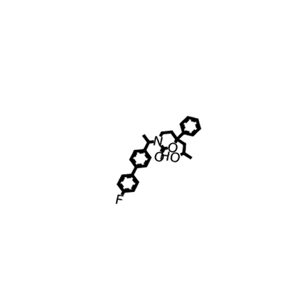 CC(O)CC1(c2ccccc2)CCN(C(C)c2ccc(-c3ccc(F)cc3)cc2)C(=O)O1